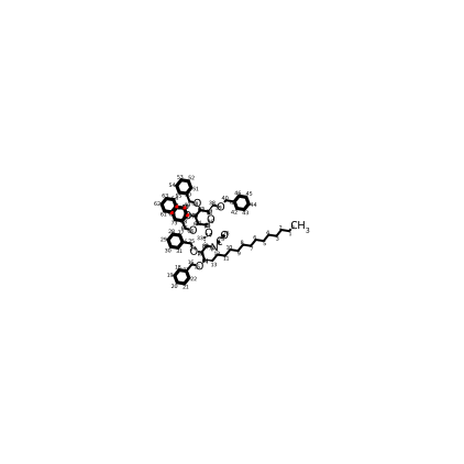 CCCCCCCCCCCCCC[C@@H](OCc1ccccc1)[C@@H](OCc1ccccc1)[C@H](CO[C@H]1O[C@H](COCc2ccccc2)[C@H](OCc2ccccc2)[C@H](OCc2ccccc2)[C@H]1OCc1ccccc1)N=C=O